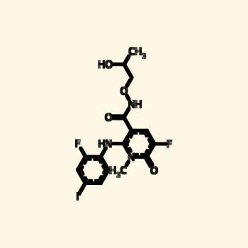 CC(O)CONC(=O)c1cc(F)c(=O)n(C)c1Nc1ccc(I)cc1F